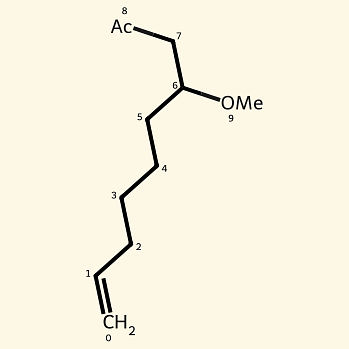 C=CCCCCC(CC(C)=O)OC